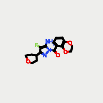 Nc1c(F)c(C2CCOCC2)nn1C(=O)c1cccc2c1OCCO2